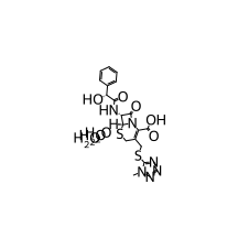 Cn1nnnc1SCC1=C(C(=O)O)N2C(=O)[C@@H](NC(=O)[C@H](O)c3ccccc3)[C@H]2SC1.O.O.O